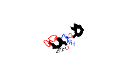 CCc1cc(=O)oc2nc(OCc3ccccc3C)[nH]c(=O)c12